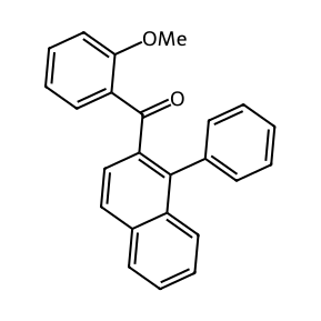 COc1ccccc1C(=O)c1ccc2ccccc2c1-c1ccccc1